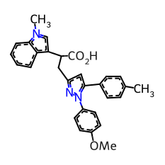 COc1ccc(-n2nc(CC(C(=O)O)c3cn(C)c4ccccc34)cc2-c2ccc(C)cc2)cc1